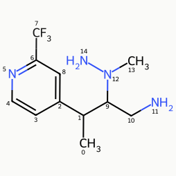 CC(c1ccnc(C(F)(F)F)c1)C(CN)N(C)N